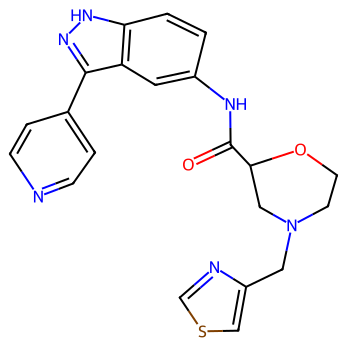 O=C(Nc1ccc2[nH]nc(-c3ccncc3)c2c1)C1CN(Cc2cscn2)CCO1